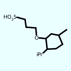 CC1CCC(C(C)C)C(OCCCS(=O)(=O)O)C1